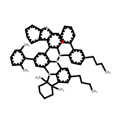 CCCCc1ccc(N2B3c4cc(CCCC)cc5c4N(c4cc(-c6c(C)cccc6C)cc(c43)-c3c2ccc2sc4ccccc4c32)C2(C)CCCCC52C)c(-c2ccccc2)c1